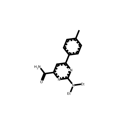 CCN(CC)c1nc(C(N)=O)cc(-c2ccc(C)cc2)n1